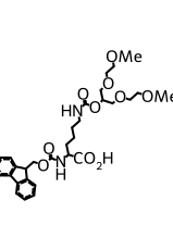 COCCOCC(COCCOC)OC(=O)NCCCCC(NC(=O)OCC1c2ccccc2-c2ccccc21)C(=O)O